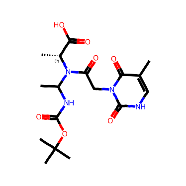 Cc1c[nH]c(=O)n(CC(=O)N(C(C)NC(=O)OC(C)(C)C)[C@H](C)C(=O)O)c1=O